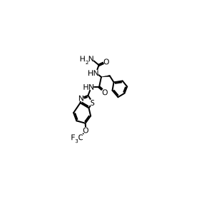 NC(=O)N[C@@H](Cc1ccccc1)C(=O)Nc1nc2ccc(OC(F)(F)F)cc2s1